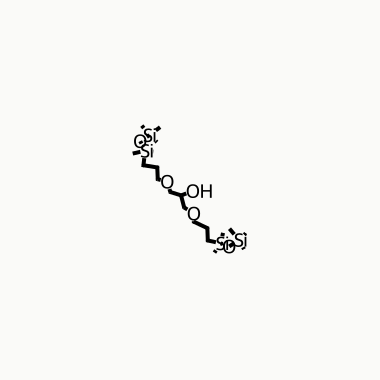 C[Si](C)(C)O[Si](C)(C)CCCOCC(O)COCCC[Si](C)(C)O[Si](C)(C)C